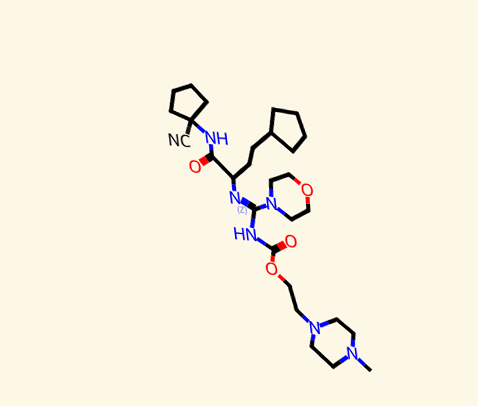 CN1CCN(CCOC(=O)N/C(=N/C(CCC2CCCC2)C(=O)NC2(C#N)CCCC2)N2CCOCC2)CC1